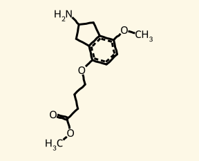 COC(=O)CCCOc1ccc(OC)c2c1CC(N)C2